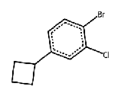 Clc1cc(C2CCC2)ccc1Br